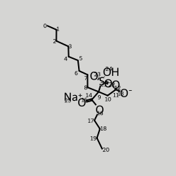 CCCCCCCCCC(CC(=O)[O-])(C(=O)OCCCC)S(=O)(=O)O.[Na+]